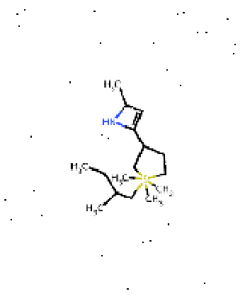 CCC(C)CS1(C)(C)(C)CCC(C2=CC(C)N2)C1